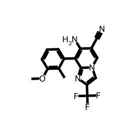 COc1cccc(-c2c(N)c(C#N)cn3cc(C(F)(F)F)nc23)c1C